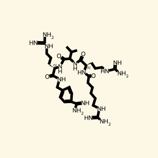 CC(C)C(NC(=O)[C@H](CCCNC(=N)N)NC(=O)CCCCCNC(=N)N)C(=O)N[C@@H](CCCNC(=N)N)C(=O)NCc1ccc(C(=N)N)cc1